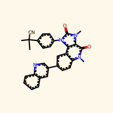 Cn1c(=O)c2c(c3cc(-c4cnc5ccccc5c4)ccc31)n(-c1ccc(C(C)(C)C#N)cc1)c(=O)n2C